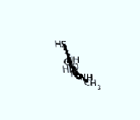 CCCNC1CCc2nc(NC(=O)CCC(=O)NCCCCCCS)sc2C1